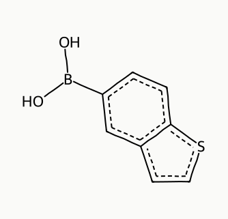 OB(O)c1ccc2sccc2c1